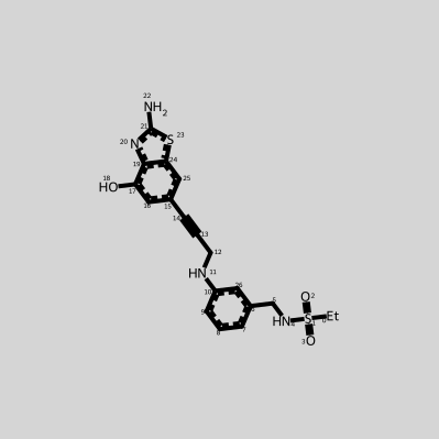 CCS(=O)(=O)NCc1cccc(NCC#Cc2cc(O)c3nc(N)sc3c2)c1